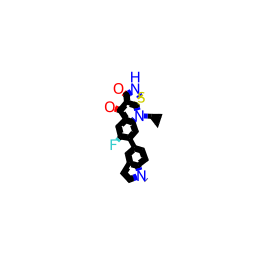 Cn1ccc2cc(-c3cc4c(cc3F)c(=O)c3c(=O)[nH]sc3n4C3CC3)ccc21